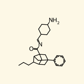 CCCC1C2CC3(c4ccccc4)CC1C(C(=O)/N=C/C1CCC(N)CC1)(C2)C3